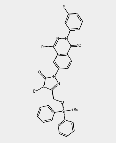 CCn1c(CO[Si](c2ccccc2)(c2ccccc2)C(C)(C)C)nn(-c2ccc3c(=O)n(-c4cccc(F)c4)nc(C(C)C)c3c2)c1=O